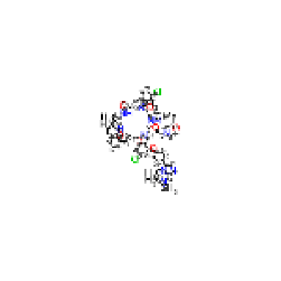 COC[C@@H]1NC(=O)[C@H](CCCN2CCOCC2)N(Cc2ccc(Cl)cc2Oc2ccc(-c3cnc(CN(C)C)n3C)cc2)C(=O)C[C@@H](Cc2ccccc2)C(=O)N(C)[C@@H](C)[C@H](C)NC(=O)C[C@H](Cc2ccc(Cl)cc2)N(C)C1=O